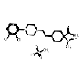 CN(C)C1(C(N)=O)CCC(CCN2CCN(c3cccc(Cl)c3Cl)CC2)CC1.CS(=O)(=O)O